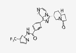 O=C(Nc1cc(C(F)(F)F)ccn1)c1ccc(-c2nc([C@@H]3CC[C@H]4CCC(=O)N4C3)n3ccn[c]c23)cc1